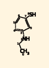 CCNc1cccc(S)c1